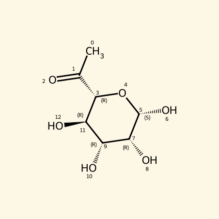 CC(=O)[C@@H]1O[C@H](O)[C@H](O)[C@H](O)[C@H]1O